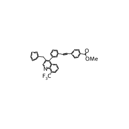 COC(=O)c1ccc(C#Cc2cccc(-c3c(Cc4ccccc4)cnc4c(C(F)(F)F)cccc34)c2)cc1